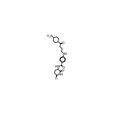 NC1CCN(C(=O)CCCNc2ccc(C(=O)NC3CCC(=O)NC3=O)cc2)CC1